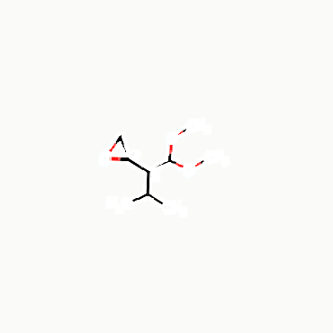 COC(OC)[C@@H](C(C)C)[C@@H]1CO1